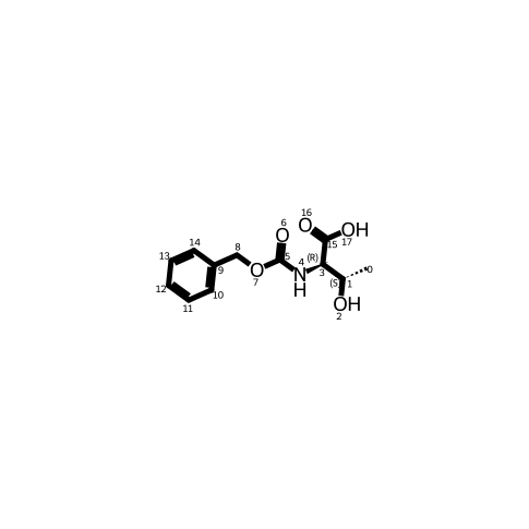 C[C@H](O)[C@@H](NC(=O)OCc1ccccc1)C(=O)O